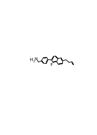 C=CCCc1ccc2c(F)c(-c3ccc(CN)cc3)ccc2c1